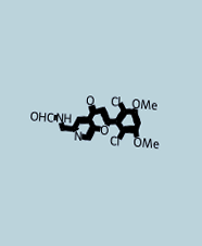 COc1cc(OC)c(Cl)c(-c2cc(=O)c3cc(CNC=O)ncc3o2)c1Cl